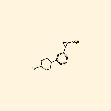 CN1CCN(c2cccc(C3CC3C(=O)O)c2)CC1